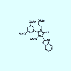 CNc1c(-c2nc3ccccc3[nH]2)c(=O)n(CCOC)n1-c1cc(OC)cc(OC)c1